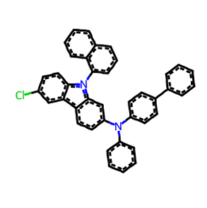 Clc1ccc2c(c1)c1ccc(N(c3ccccc3)c3ccc(-c4ccccc4)cc3)cc1n2-c1cccc2ccccc12